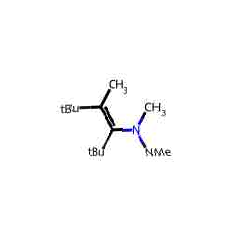 CNN(C)/C(=C(\C)C(C)(C)C)C(C)(C)C